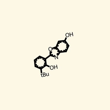 CC(C)(C)c1cccc(-c2nc3ccc(O)cc3o2)c1O